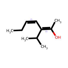 CC/C=C\C(=C(/C)O)C(C)C